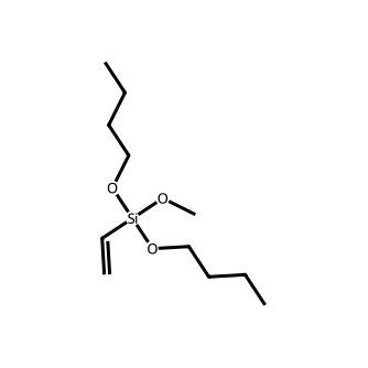 C=C[Si](OC)(OCCCC)OCCCC